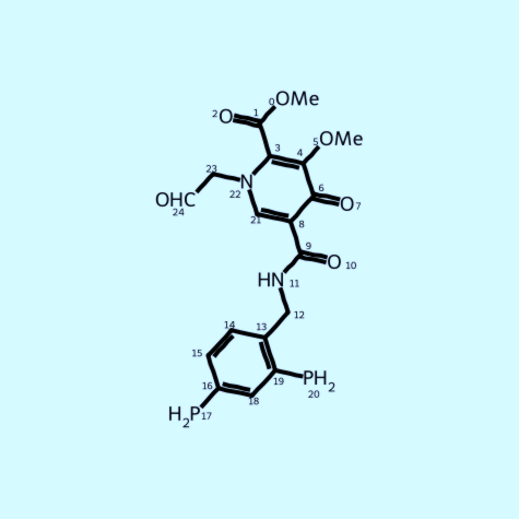 COC(=O)c1c(OC)c(=O)c(C(=O)NCc2ccc(P)cc2P)cn1CC=O